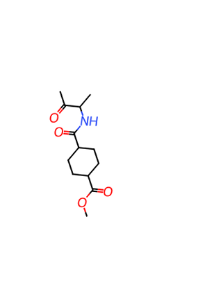 COC(=O)C1CCC(C(=O)NC(C)C(C)=O)CC1